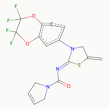 C=C1CN(c2ccc3c(c2)OC(F)(F)C(F)(F)O3)C(=NC(=O)N2CC=CC2)S1